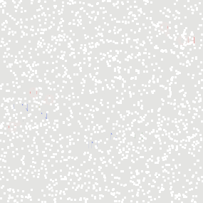 O=C(O)CCc1ccc(-c2ccc(C(c3ccc(N4CC(=O)NS4(=O)=O)cc3)c3nc(-c4ccc(Cl)cc4Cl)c[nH]3)cc2)cc1